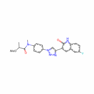 COC(C)C(=O)N(C)c1ccc(-n2cc(-c3cc4cc(F)ccc4[nH]c3=O)nn2)cc1